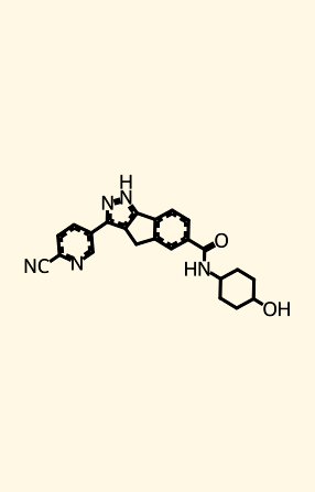 N#Cc1ccc(-c2n[nH]c3c2Cc2cc(C(=O)NC4CCC(O)CC4)ccc2-3)cn1